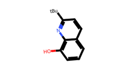 CC(C)(C)c1ccc2cccc(O)c2n1